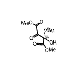 CCCC[C@](O)(C(=O)OC)C(=O)C(=O)OC